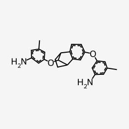 Cc1cc(N)cc(Oc2ccc3c(c2)C2CCC3C2Oc2cc(C)cc(N)c2)c1